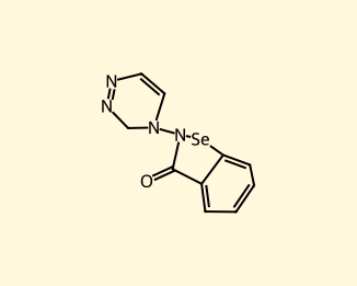 O=c1c2ccccc2[se]n1N1C=CN=NC1